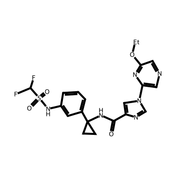 CCOc1cncc(-n2cnc(C(=O)NC3(c4cccc(NS(=O)(=O)C(F)F)c4)CC3)c2)n1